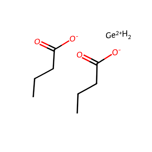 CCCC(=O)[O-].CCCC(=O)[O-].[GeH2+2]